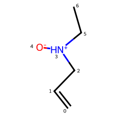 C=CC[NH+]([O-])CC